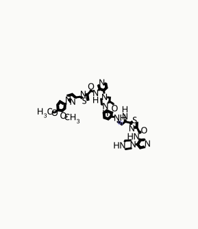 COc1ccc(-n2ccc(-c3nc(C(=O)Nc4cnccc4N4CCNC(COc5ccccc5N/C=C\C(=N)c5nc(C(=O)Nc6cnccc6N6CCNCC6)cs5)C4)cs3)n2)cc1OC